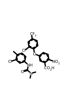 Cc1ccc(NC(=O)N(C)C)cc1Cl.O=C(O)c1cc(Oc2ccc(C(F)(F)F)cc2Cl)ccc1[N+](=O)[O-]